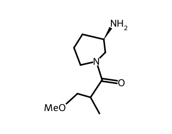 COCC(C)C(=O)N1CCC[C@@H](N)C1